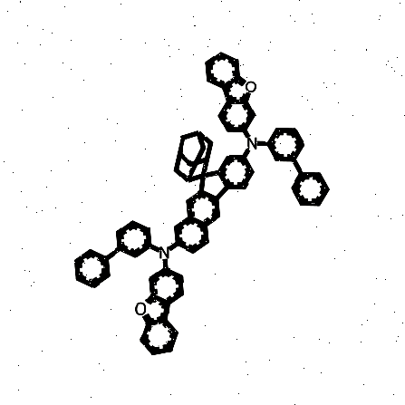 c1ccc(-c2cccc(N(c3ccc4c(c3)C3(c5cc6cc(N(c7cccc(-c8ccccc8)c7)c7ccc8c(c7)oc7ccccc78)ccc6cc5-4)C4CC5CC(C4)CC3C5)c3ccc4c(c3)oc3ccccc34)c2)cc1